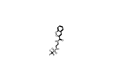 O=C(NCCNS(=O)(=O)C(F)(F)F)C1=Cc2ccccc2OO1